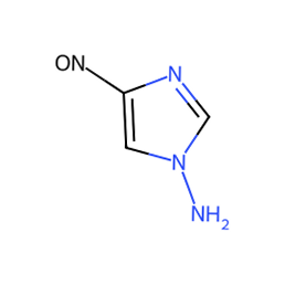 Nn1cnc(N=O)c1